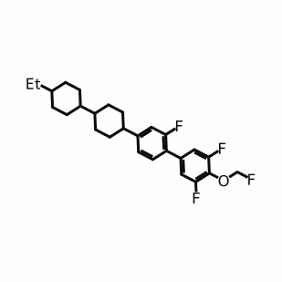 CCC1CCC(C2CCC(c3ccc(-c4cc(F)c(OCF)c(F)c4)c(F)c3)CC2)CC1